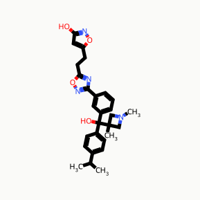 CC(C)c1ccc(C(O)(c2cccc(-c3noc(CCc4cc(O)no4)n3)c2)C2(C)CN(C)C2)cc1